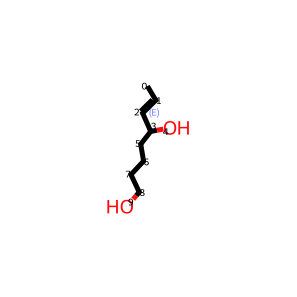 C/C=C/C(O)CCCCO